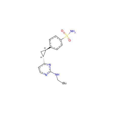 CC(C)(C)CNc1nccc([C@@H]2C[C@H]2c2ccc(S(N)(=O)=O)cc2)n1